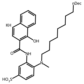 CCCCCCCCCCCCCCCCCCN(C)c1ccc(S(=O)(=O)O)cc1NC(=O)c1ccc2ccccc2c1O.[KH]